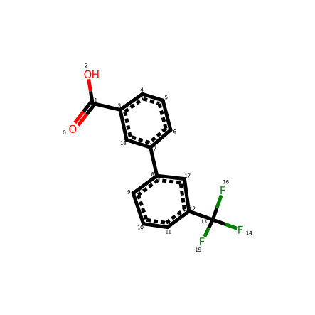 O=C(O)c1cccc(-c2cccc(C(F)(F)F)c2)c1